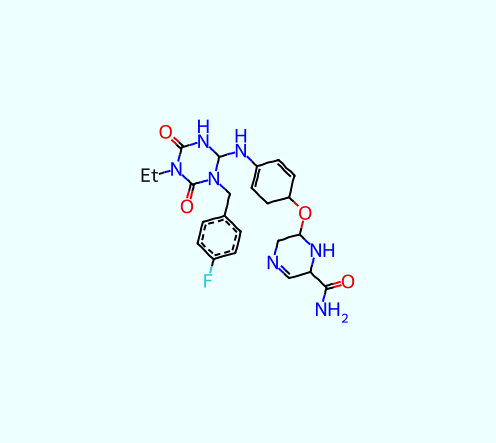 CCN1C(=O)NC(NC2=CCC(OC3CN=CC(C(N)=O)N3)C=C2)N(Cc2ccc(F)cc2)C1=O